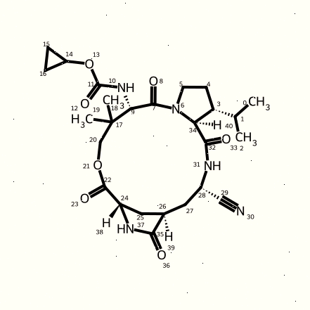 CC(C)[C@H]1CCN2C(=O)[C@@H](NC(=O)OC3CC3)C(C)(C)COC(=O)[C@@H]3C[C@@H](C[C@@H](C#N)NC(=O)[C@H]12)C(=O)N3